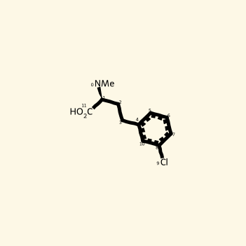 CN[C@@H](CCc1cccc(Cl)c1)C(=O)O